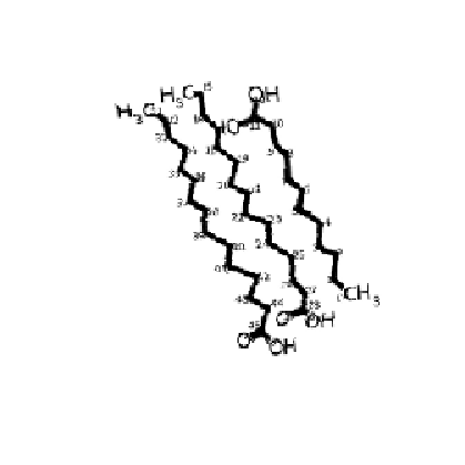 CCCCCCCCCCCC(O)O.CCCCCCCCCCCCCCC(=O)O.CCCCCCCCCCCCCCC(=O)O